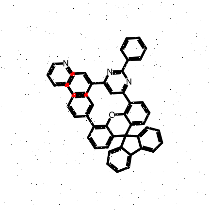 c1ccc(-c2cc(-c3cccc4c3Oc3c(-c5ccc(-c6cccnc6)cc5)cccc3C43c4ccccc4-c4ccccc43)nc(-c3ccccc3)n2)cc1